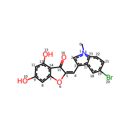 Cn1cc(/C=C2/Oc3cc(O)cc(O)c3C2=O)c2cc(Br)ccc21